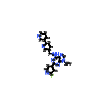 CC(C)n1cnc2c(NCc3ccc(-c4cccnc4)nc3)nc(-c3ccnc(F)c3)nc21